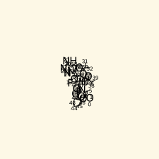 COC(=O)C(C)NP(=O)(OC[C@@]1(CF)O[C@@H](c2ccc3c(N)ncnn23)[C@H](OC(=O)C(C)C)[C@@H]1OC(=O)C(C)C)Oc1ccccc1